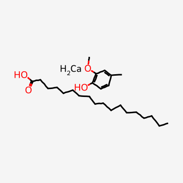 CCCCCCCCCCCCCCCCCC(=O)O.COc1cc(C)ccc1O.[CaH2]